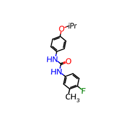 Cc1cc(NC(=O)Nc2ccc(OC(C)C)cc2)ccc1F